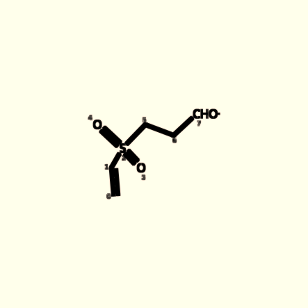 C=CS(=O)(=O)CC[C]=O